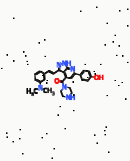 CN(C)c1cccc(C=Cc2n[nH]c3nc(-c4ccc(O)cc4)cc(C(=O)N4CCNCC4)c23)c1